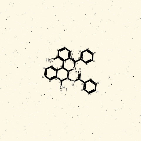 Cc1cccc(Br)c1C1c2ccccc2C(C)C(OC(=O)c2ccccc2)C1OC(=O)c1ccccc1